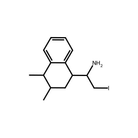 CC1CC(C(N)CI)c2ccccc2C1C